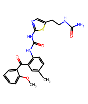 COc1ccccc1C(=O)c1cc(C)ccc1NC(=O)Nc1ncc(CCNC(N)=O)s1